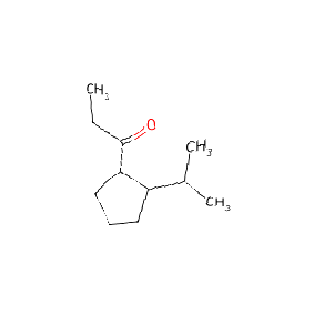 CCC(=O)C1CCCC1C(C)C